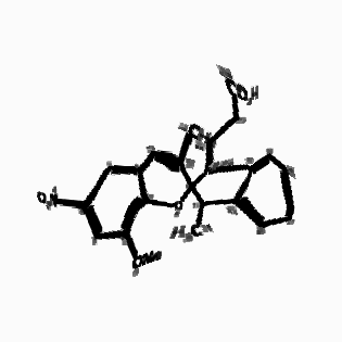 COc1cc([N+](=O)[O-])cc2c1OC1(C(C)=C2)C(C)c2ccccc2N1CCC(=O)O